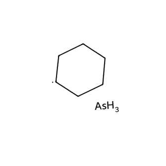 [AsH3].[CH]1CCCCC1